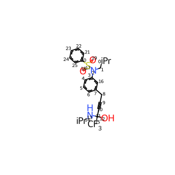 CC(C)CN(c1cccc(CC#CC(O)(NC(C)C)C(F)(F)F)c1)S(=O)(=O)c1ccccc1